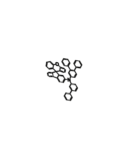 c1ccc(-c2cccc(N(c3ccc(-c4ccccc4)c(-c4ccccc4)c3)c3ccc4c(c3)C3(c5ccccc5Oc5ccccc53)c3ccccc3-4)c2)cc1